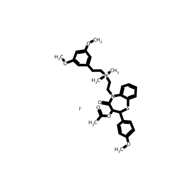 COc1ccc(C2Sc3ccccc3N(CC[N+](C)(C)CCc3cc(OC)cc(OC)c3)C(=O)C2OC(C)=O)cc1.[I-]